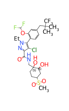 CCn1nc(C(=O)NC[C@@]2(O)CCC(S(C)(=O)=O)C[C@@H]2O)c(Cl)c1-c1ccc(CC(C)(C)C(F)(F)F)cc1OC(F)F